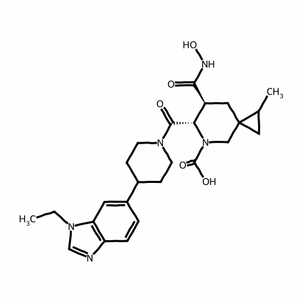 CCn1cnc2ccc(C3CCN(C(=O)[C@@H]4[C@@H](C(=O)NO)CC5(CC5C)CN4C(=O)O)CC3)cc21